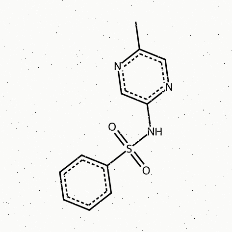 Cc1cnc(NS(=O)(=O)c2ccccc2)cn1